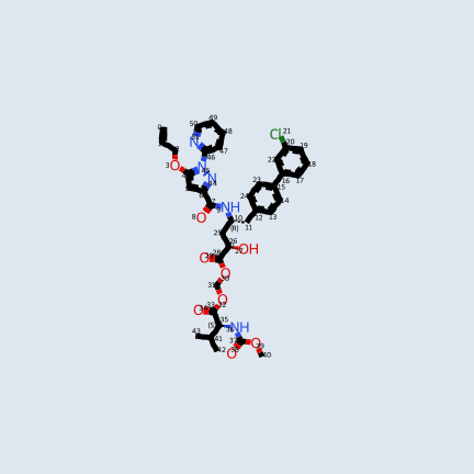 C=CCOc1cc(C(=O)N[C@H](Cc2ccc(-c3cccc(Cl)c3)cc2)C[C@@H](O)C(=O)OCOC(=O)[C@@H](NC(=O)OC)C(C)C)nn1-c1ccccn1